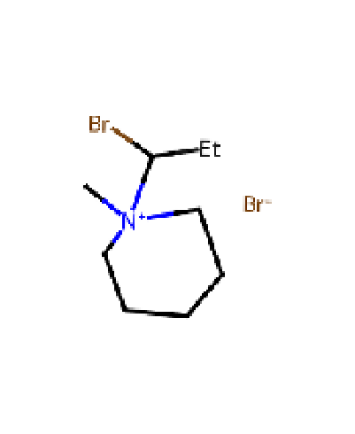 CCC(Br)[N+]1(C)CCCCC1.[Br-]